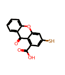 O=C(O)c1cc(S)cc2oc3ccccc3c(=O)c12